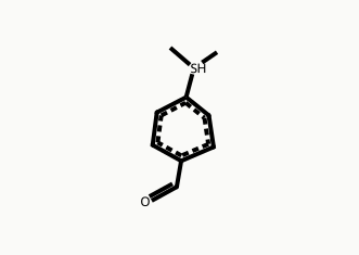 C[SH](C)c1ccc(C=O)cc1